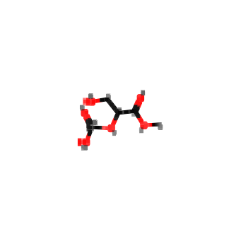 COC(=O)C(CO)O[Si](=O)O